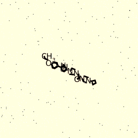 CCCOc1ccc(-c2ccc(N3CCN(CC(=O)N4CCN(C5CCC5)CC4)CC3)nn2)cc1